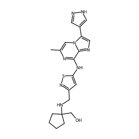 Cc1cn2c(-c3cn[nH]c3)cnc2c(Nc2cc(CNC3(CO)CCCC3)ns2)n1